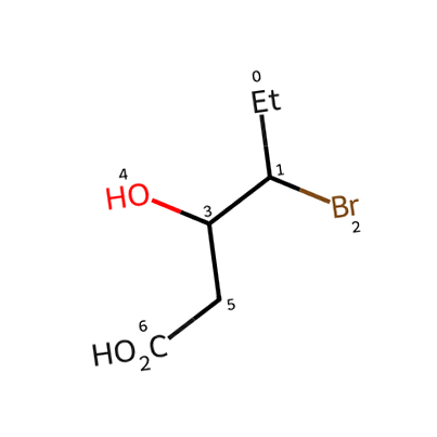 CCC(Br)C(O)CC(=O)O